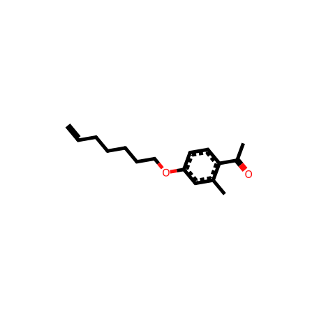 C=CCCCCCOc1ccc(C(C)=O)c(C)c1